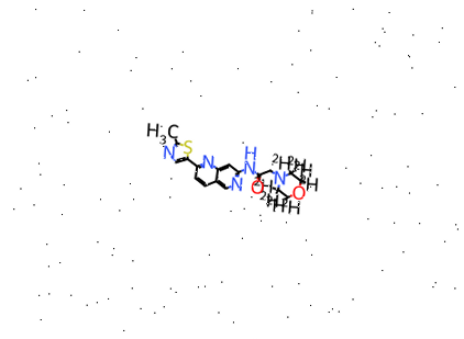 [2H]C1([2H])OC([2H])([2H])C([2H])([2H])N(CC(=O)Nc2cc3nc(-c4cnc(C)s4)ccc3cn2)C1([2H])[2H]